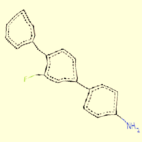 Nc1ccc(-c2ccc(-c3ccccc3)c(F)c2)cc1